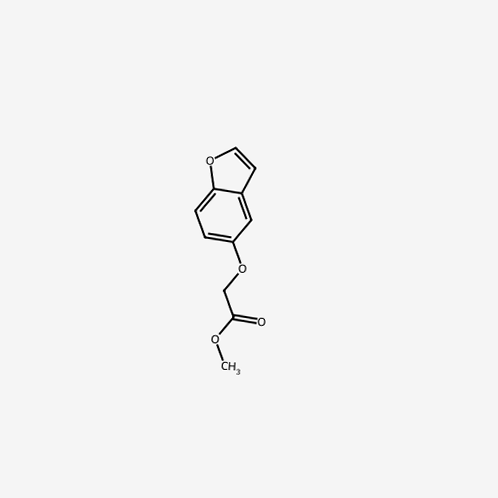 COC(=O)COc1ccc2occc2c1